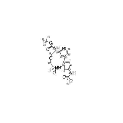 COC(=O)Nc1ccc2c(c1)NC(=O)[C@H](C)CCC[C@H](NC(=O)OC(C)(C)C)c1cc-2ccn1